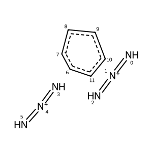 N=[N+]=N.N=[N+]=N.c1ccccc1